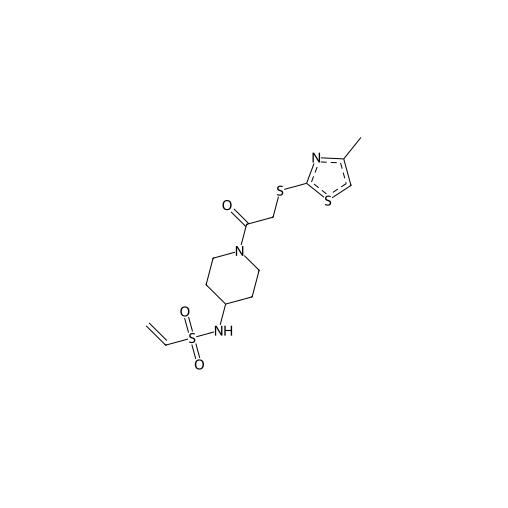 C=CS(=O)(=O)NC1CCN(C(=O)CSc2nc(C)cs2)CC1